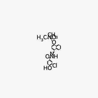 CCN(C)C(=O)COc1ccc(/C=N/NC(=O)c2ccc(O)c(Cl)c2)c2ccccc12